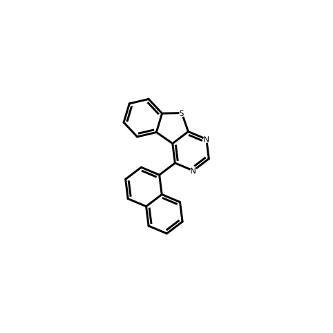 c1ccc2c(-c3ncnc4sc5ccccc5c34)cccc2c1